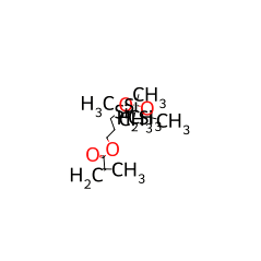 C=C(C)C(=O)OCCC[Si](C)(C)O[Si](C)(C)O[SiH2]C